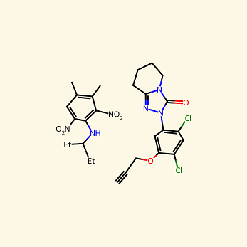 C#CCOc1cc(-n2nc3n(c2=O)CCCC3)c(Cl)cc1Cl.CCC(CC)Nc1c([N+](=O)[O-])cc(C)c(C)c1[N+](=O)[O-]